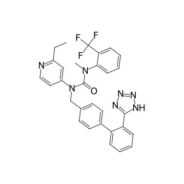 CCc1cc(N(Cc2ccc(-c3ccccc3-c3nnn[nH]3)cc2)C(=O)N(C)c2ccccc2C(F)(F)F)ccn1